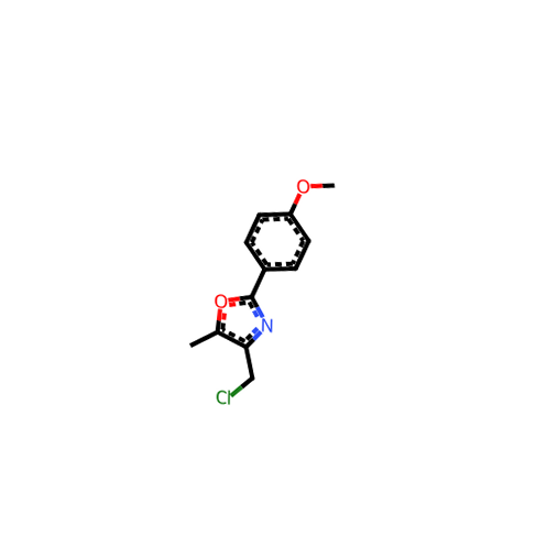 COc1ccc(-c2nc(CCl)c(C)o2)cc1